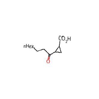 CCCCCCCCC(=O)C1CC1C(=O)O